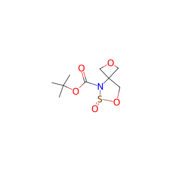 CC(C)(C)OC(=O)N1S(=O)OCC12COC2